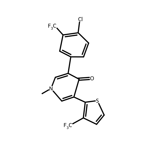 Cn1cc(-c2ccc(Cl)c(C(F)(F)F)c2)c(=O)c(-c2sccc2C(F)(F)F)c1